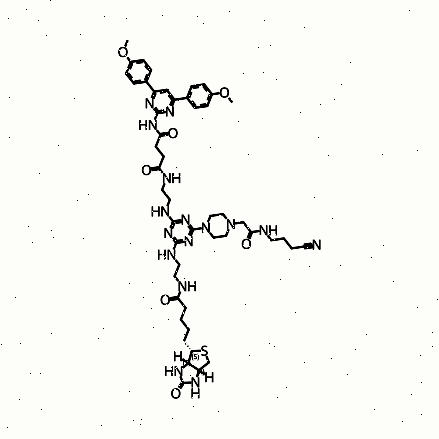 COc1ccc(-c2cc(-c3ccc(OC)cc3)nc(NC(=O)CCC(=O)NCCNc3nc(NCCNC(=O)CCCC[C@@H]4SC[C@@H]5NC(=O)N[C@@H]54)nc(N4CCN(CC(=O)NCCCC#N)CC4)n3)n2)cc1